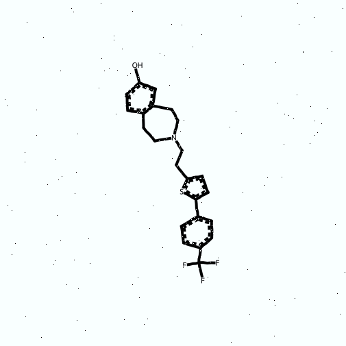 Oc1ccc2c(c1)CCN(CCc1ccc(-c3ccc(C(F)(F)F)cc3)s1)CC2